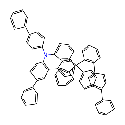 c1ccc(-c2ccc(-c3cccc4c3C(c3ccccc3)(c3ccccc3)c3cc(N(c5ccc(-c6ccccc6)cc5)c5ccc(-c6ccccc6)cc5-c5ccccc5)ccc3-4)cc2)cc1